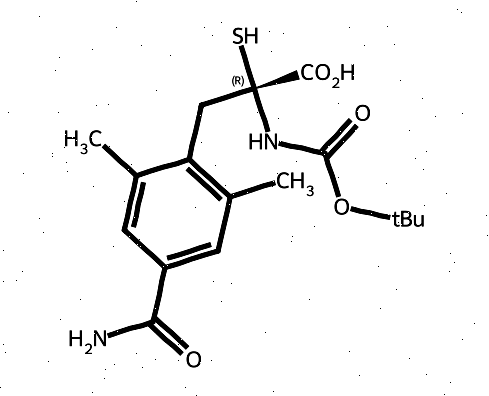 Cc1cc(C(N)=O)cc(C)c1C[C@](S)(NC(=O)OC(C)(C)C)C(=O)O